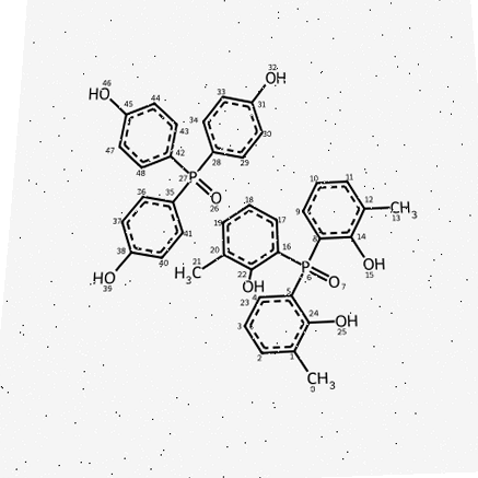 Cc1cccc(P(=O)(c2cccc(C)c2O)c2cccc(C)c2O)c1O.O=P(c1ccc(O)cc1)(c1ccc(O)cc1)c1ccc(O)cc1